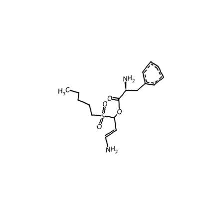 CCCCCS(=O)(=O)C(C=CN)OC(=O)[C@@H](N)Cc1ccccc1